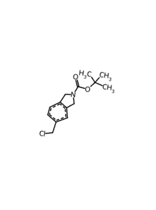 CC(C)(C)OC(=O)N1Cc2ccc(CCl)cc2C1